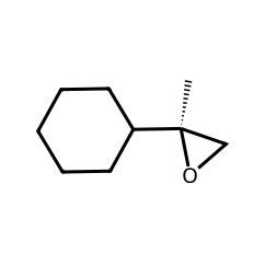 C[C@]1(C2CCCCC2)CO1